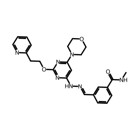 CNC(=O)c1cccc(C=NNc2cc(N3CCOCC3)nc(OCCc3ccccn3)n2)c1